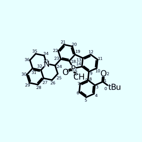 CC(C)(C)C(=O)c1ccccc1-c1cccc2c1P(C)(=O)c1c-2cccc1C1CCc2cccc3c2N1CCC3